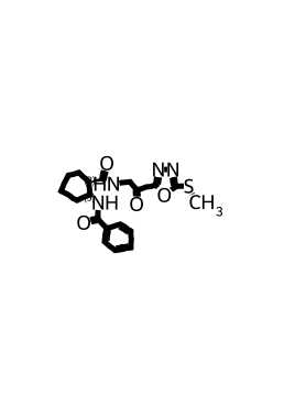 CSc1nnc(C(=O)CNC(=O)[C@@H]2CCCC[C@@H]2NC(=O)c2ccccc2)o1